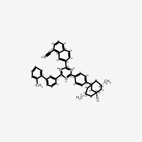 Cc1ccccc1-c1cccc(-c2nc(-c3ccc(C45C[C@H](C)C[C@H](C[C@H](C)C4)C5)cc3)nc(-c3ccc4cccc(C#N)c4c3)n2)c1